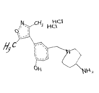 Cc1noc(C)c1-c1cc(O)cc(CN2CCC(N)CC2)c1.Cl.Cl